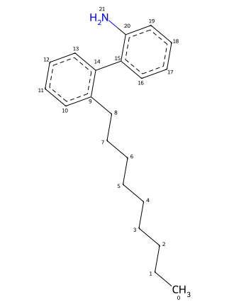 CCCCCCCCCc1ccccc1-c1ccccc1N